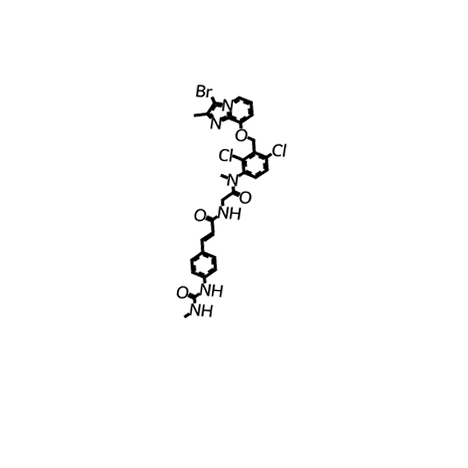 CNC(=O)Nc1ccc(C=CC(=O)NCC(=O)N(C)c2ccc(Cl)c(COc3cccn4c(Br)c(C)nc34)c2Cl)cc1